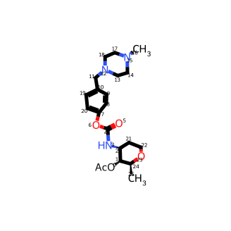 CC(=O)O[C@H]1[C@@H](NC(=O)Oc2ccc(CN3CCN(C)CC3)cc2)CCO[C@H]1C